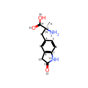 C[C@](N)(Cc1ccc2c(c1)CC(=O)N2)C(=O)O